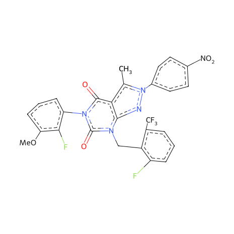 COc1cccc(-n2c(=O)c3c(C)n(-c4ccc([N+](=O)[O-])cc4)nc3n(Cc3c(F)cccc3C(F)(F)F)c2=O)c1F